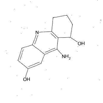 Nc1c2c(nc3ccc(O)cc13)CCCC2O